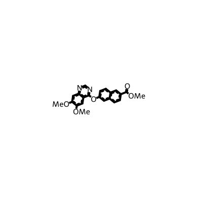 COC(=O)c1ccc2cc(Oc3ncnc4cc(OC)c(OC)cc34)ccc2c1